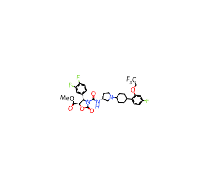 COC(=O)[C@@H]1OC(=O)N(C(=O)N[C@@H]2CCN(C3CCC(c4ccc(F)cc4OCC(F)(F)F)CC3)C2)[C@H]1c1ccc(F)c(F)c1